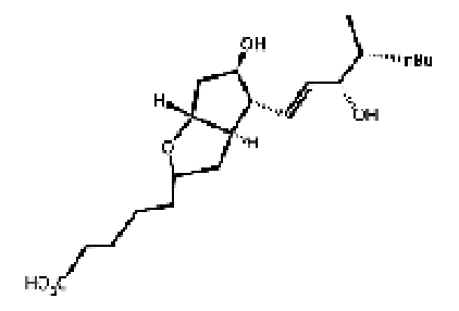 CCCC[C@@H](C)[C@H](O)/C=C/[C@@H]1[C@H]2CC(CCCCC(=O)O)O[C@@H]2C[C@H]1O